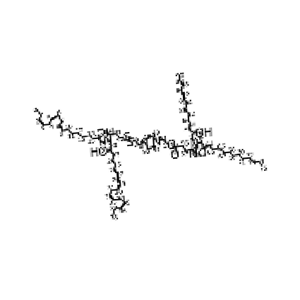 CC/C=C\C/C=C\C/C=C\CCCCCC[C@H](O)CN(C[C@@H](O)CCCCCC/C=C\C/C=C\C/C=C\CC)C(C)CCSSCCN1CCN(CCOC(=O)CCC(C)N(CC(O)CCCCCCCCCCCC)CC(O)CCCCCCCCCCCC)CC1